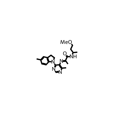 COCCC(C)NC(=O)/C(C)=N/c1c(C)ncnc1N1CCc2cc(C)ccc21